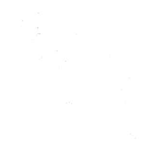 Cn1cc(C(O)c2c(Cl)ccc(C(=O)OC(C)(C)C)c2Cl)c2c(C#N)cc(C#N)cc21